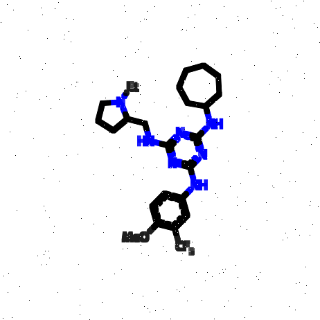 CCN1CCCC1CNc1nc(Nc2ccc(OC)c(C(F)(F)F)c2)nc(NC2CCCCCC2)n1